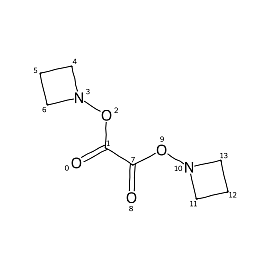 O=C(ON1CCC1)C(=O)ON1CCC1